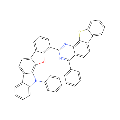 c1ccc(-c2nc(-c3cccc4c3oc3c4ccc4c5ccccc5n(-c5ccccc5)c43)nc3c2ccc2c4ccccc4sc23)cc1